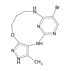 Cc1[nH]nc2c1Nc1ncc(Br)c(n1)NCCCO2